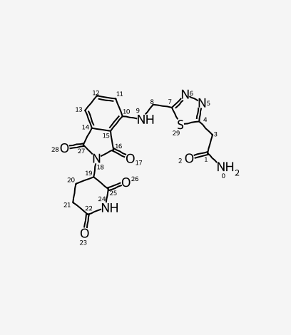 NC(=O)Cc1nnc(CNc2cccc3c2C(=O)N(C2CCC(=O)NC2=O)C3=O)s1